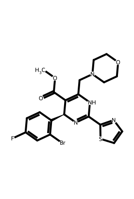 COC(=O)C1=C(CN2CCOCC2)NC(c2nccs2)=N[C@H]1c1ccc(F)cc1Br